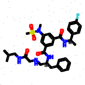 CC(C)CNC(=O)CNC[C@H](Cc1ccccc1)NC(=O)c1cc(C(=O)N[C@H](C)c2ccc(F)cc2)cc(N(C)S(C)(=O)=O)c1